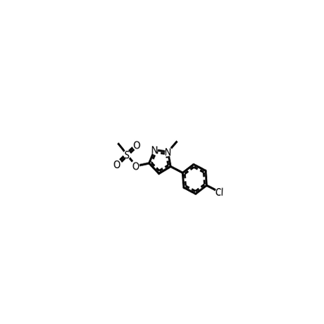 Cn1nc(OS(C)(=O)=O)cc1-c1ccc(Cl)cc1